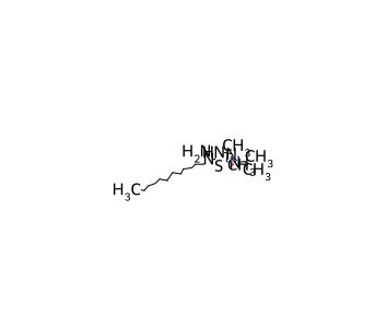 CCCCCCCCCCCCN(N)C(=S)NC(C)(CC)/N=N/C(C)C